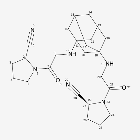 N#CC1CCCN1C(=O)CNC12CC3CC(C1)CC(NCC(=O)N1CCC[C@H]1C#N)(C3)C2